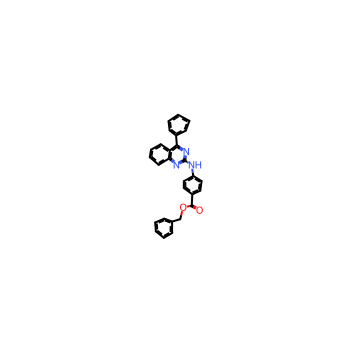 O=C(OCc1ccccc1)c1ccc(Nc2nc(-c3ccccc3)c3ccccc3n2)cc1